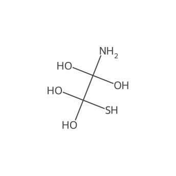 NC(O)(O)C(O)(O)S